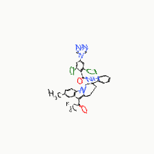 Cc1ccc2c(c1)c(C(=O)C(F)(F)F)c1n2C[C@@](NC(=O)c2c(Cl)cc(-n3cnnc3)cc2Cl)(c2ccccc2)CC1